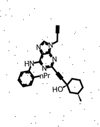 C#CCn1cnc2c(Nc3ccccc3CCC)nc(C#C[C@]3(O)CCC[C@@H](C)C3)nc21